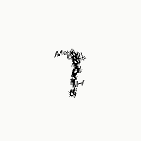 CCn1c(N)c(C(=O)NC)c(=O)c2ccc(-c3ccc(CC(=O)NCCc4ccccn4)cc3)nc21